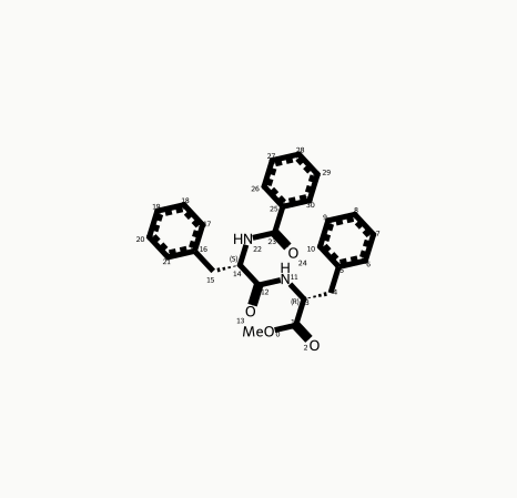 COC(=O)[C@@H](Cc1ccccc1)NC(=O)[C@H](Cc1ccccc1)NC(=O)c1ccccc1